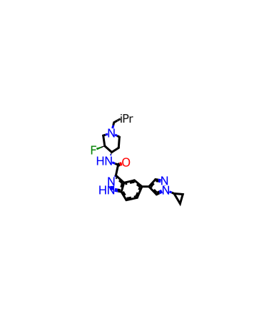 CC(C)CN1CC[C@H](NC(=O)c2n[nH]c3ccc(-c4cnn(C5CC5)c4)cc23)[C@@H](F)C1